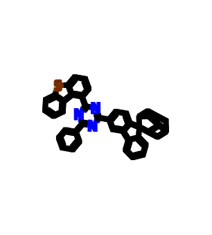 c1ccc(-c2nc(-c3ccc4c(c3)-c3ccccc3C43C4CC5CC(C4)CC3C5)nc(-c3cccc4sc5ccccc5c34)n2)cc1